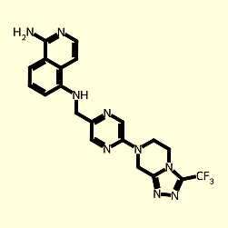 Nc1nccc2c(NCc3cnc(N4CCn5c(nnc5C(F)(F)F)C4)cn3)cccc12